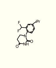 CC(C)c1ccc(N2CCC(=O)NC2=O)c(C(F)F)c1